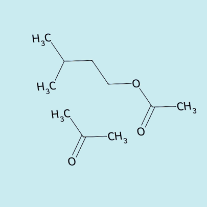 CC(=O)OCCC(C)C.CC(C)=O